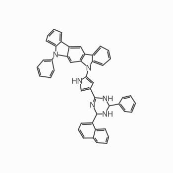 c1ccc(C2NC(c3c[nH]c(-n4c5ccccc5c5cc6c7ccccc7n(-c7ccccc7)c6cc54)c3)=NC(c3cccc4ccccc34)N2)cc1